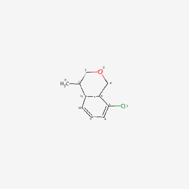 CC1COCC2C(Cl)=CC=CC12